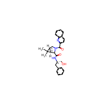 CC1(C)[C@@H]2C(C(=O)N[C@H](CO)Cc3ccccc3)N(C(=O)c3ccc4ccccc4n3)C[C@@H]21